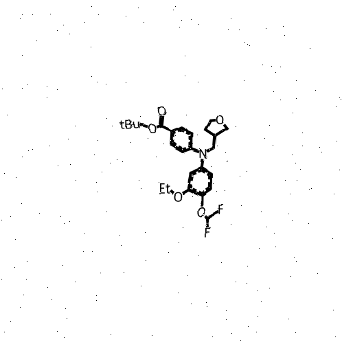 CCOc1cc(N(CC2CCOC2)c2ccc(C(=O)OC(C)(C)C)cc2)ccc1OC(F)F